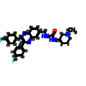 CN1CCCC(NC(=O)NCc2ccc3nc(-c4ccc(F)cc4)c(-c4ccc(F)cc4)nc3c2)C1